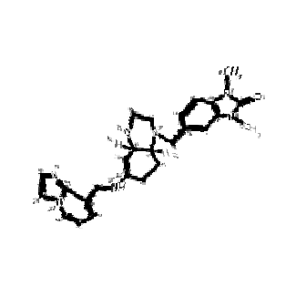 Cn1c(=O)n(C)c2cc(CN3CCO[C@H]4C[C@H](NCc5cccn6ccnc56)CC[C@H]43)ccc21